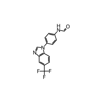 O=CNc1ccc(-n2cnc3cc(C(F)(F)F)ccc32)cc1